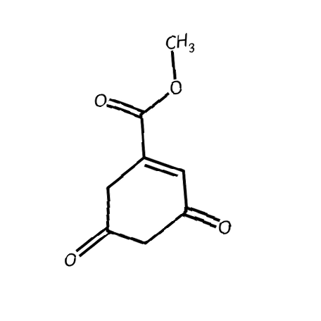 COC(=O)C1=CC(=O)CC(=O)C1